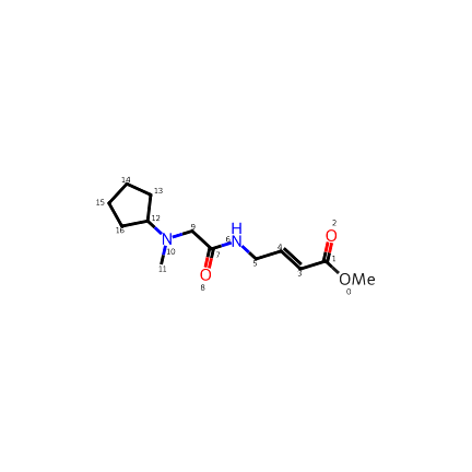 COC(=O)/C=C/CNC(=O)CN(C)C1CCCC1